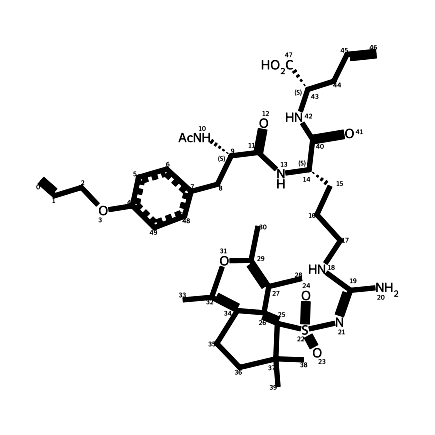 C=CCOc1ccc(C[C@H](NC(C)=O)C(=O)N[C@@H](CCCNC(N)=NS(=O)(=O)C2=C3C(C)=C(C)OC(C)=C3CCC2(C)C)C(=O)N[C@@H](CC=C)C(=O)O)cc1